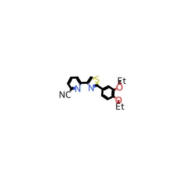 CCOc1ccc(-c2nc(-c3cccc(C#N)n3)cs2)cc1OCC